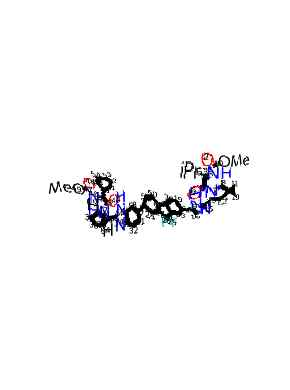 COC(=O)N[C@H](C(=O)N1CC2(CC2)C[C@H]1c1ncc(-c2ccc3c(c2)C(F)(F)c2cc(-c4ccc5nc(C6[C@H]7CC[C@H](C7)N6C(=O)[C@H](NC(=O)OC)c6ccccc6)[nH]c5c4)ccc2-3)[nH]1)C(C)C